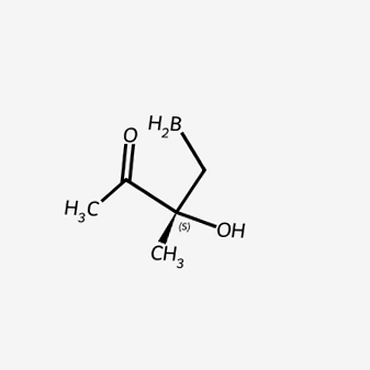 BC[C@](C)(O)C(C)=O